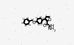 NNC(=O)c1occc1-c1ccc(OCc2ccccc2)cc1